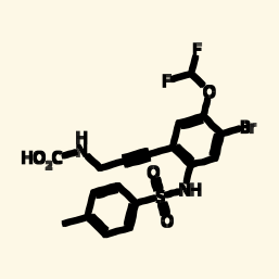 Cc1ccc(S(=O)(=O)Nc2cc(Br)c(OC(F)F)cc2C#CCNC(=O)O)cc1